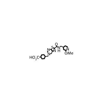 COc1cc(CNC(=O)c2nc3c(s2)N=CN(Cc2ccc(C(=O)O)cc2)C3)ccn1